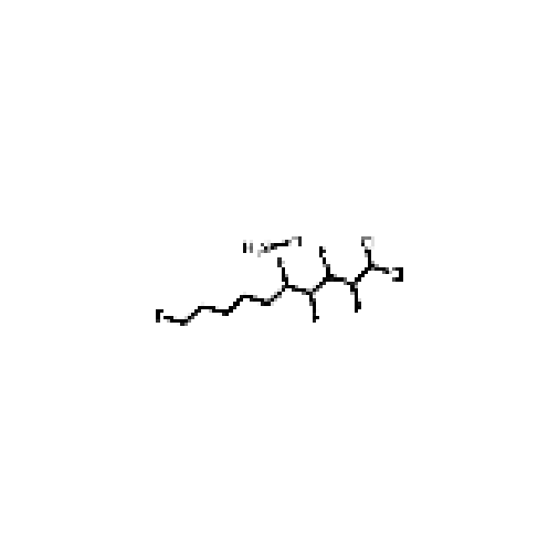 FCCCCCC(F)C(F)C(F)C(F)C(Cl)Cl.[SiH3]Cl